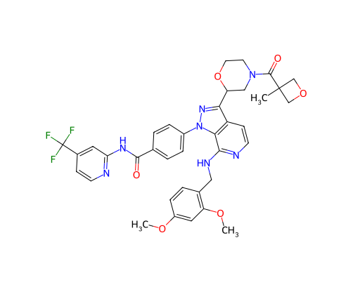 COc1ccc(CNc2nccc3c(C4CN(C(=O)C5(C)COC5)CCO4)nn(-c4ccc(C(=O)Nc5cc(C(F)(F)F)ccn5)cc4)c23)c(OC)c1